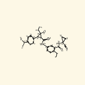 CCc1ccc(NC(=O)C2C(c3ccc(C(F)F)cc3)C2(Cl)CC)cc1C(=O)NC1(C#N)CC1